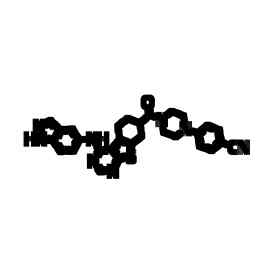 N#Cc1ccc(N2CCN(C(=O)C3CCc4c(sc5ncnc(Nc6ccc7[nH]ncc7c6)c45)C3)CC2)cc1